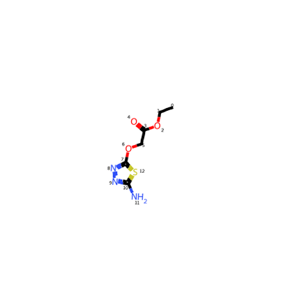 CCOC(=O)COc1nnc(N)s1